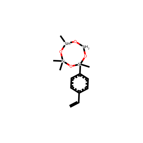 C=Cc1ccc([Si]2(C)O[SiH2]O[SiH](C)O[Si](C)(C)O2)cc1